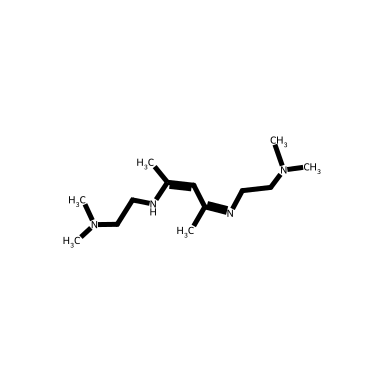 C/C(=C/C(C)=N\CCN(C)C)NCCN(C)C